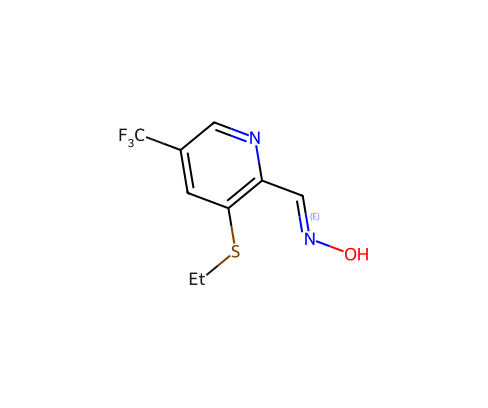 CCSc1cc(C(F)(F)F)cnc1/C=N/O